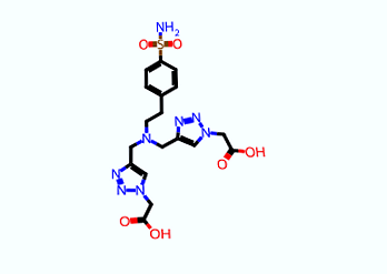 NS(=O)(=O)c1ccc(CCN(Cc2cn(CC(=O)O)nn2)Cc2cn(CC(=O)O)nn2)cc1